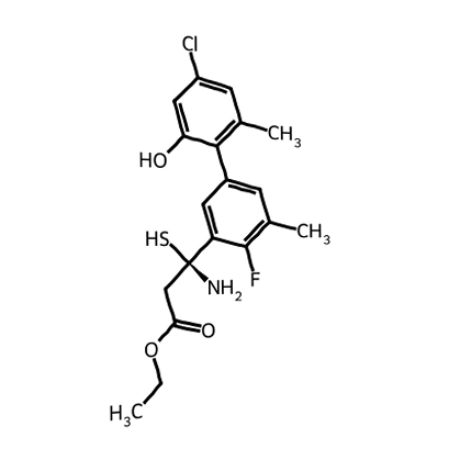 CCOC(=O)C[C@](N)(S)c1cc(-c2c(C)cc(Cl)cc2O)cc(C)c1F